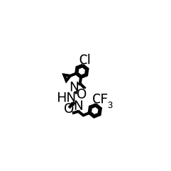 FC(F)(F)c1cccc(CC2COC(NC3=NC(c4ccc(Cl)cc4C4CC4)CO3)=N2)c1